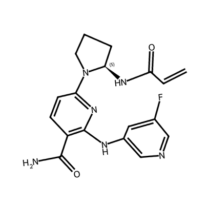 C=CC(=O)N[C@@H]1CCCN1c1ccc(C(N)=O)c(Nc2cncc(F)c2)n1